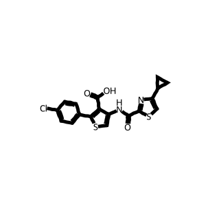 O=C(Nc1csc(-c2ccc(Cl)cc2)c1C(=O)O)c1nc(C2CC2)cs1